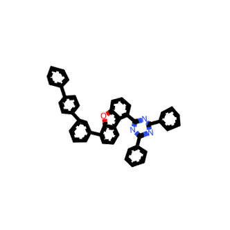 c1ccc(-c2ccc(-c3cccc(-c4cccc5c4oc4cccc(-c6nc(-c7ccccc7)nc(-c7ccccc7)n6)c45)c3)cc2)cc1